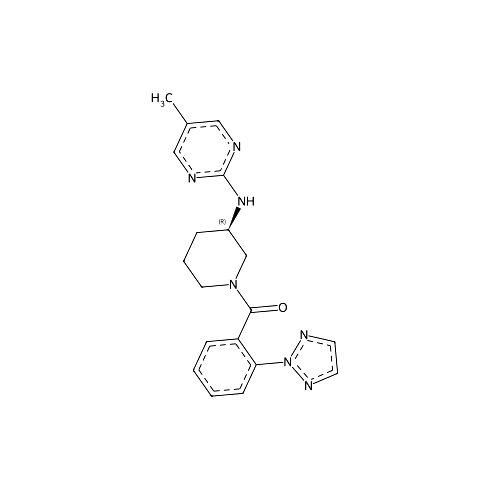 Cc1cnc(N[C@@H]2CCCN(C(=O)c3ccccc3-n3nccn3)C2)nc1